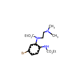 CCOC(=O)Nc1ccc(Br)cc1N(CCN(C)C)C(=O)OCC